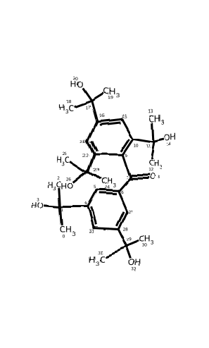 CC(C)(O)c1cc(C(=O)c2c(C(C)(C)O)cc(C(C)(C)O)cc2C(C)(C)O)cc(C(C)(C)O)c1